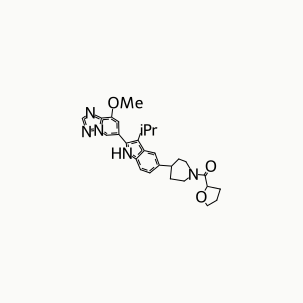 COc1cc(-c2[nH]c3ccc(C4CCN(C(=O)C5CCCO5)CC4)cc3c2C(C)C)cn2ncnc12